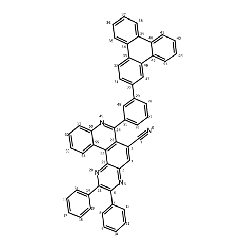 N#Cc1cc2nc(-c3ccccc3)c(-c3ccccc3)nc2c2c1c(-c1cccc(-c3ccc4c5ccccc5c5ccccc5c4c3)c1)nc1ccccc12